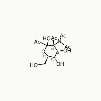 CC(=O)N(C(C)=O)[C@]1(C(C)=O)[C@@H](O)[C@H](O)[C@@H](CO)OC1(O)C(C)=O